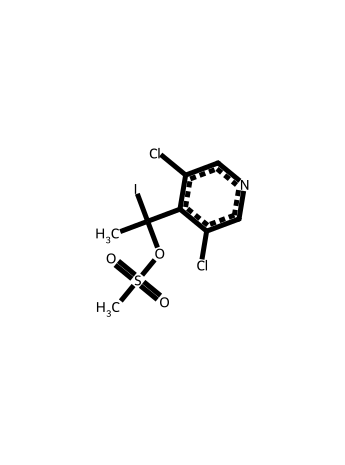 CC(I)(OS(C)(=O)=O)c1c(Cl)cncc1Cl